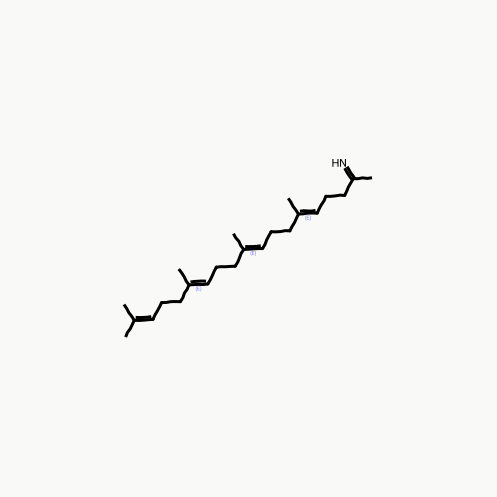 CC(=N)CC/C=C(\C)CC/C=C(\C)CC/C=C(\C)CCC=C(C)C